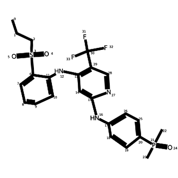 CCCS(=O)(=O)c1ccccc1Nc1cc(Nc2ccc(P(C)(C)=O)cc2)ncc1C(F)(F)F